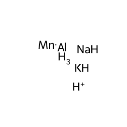 [AlH3].[H+].[KH].[Mn].[NaH]